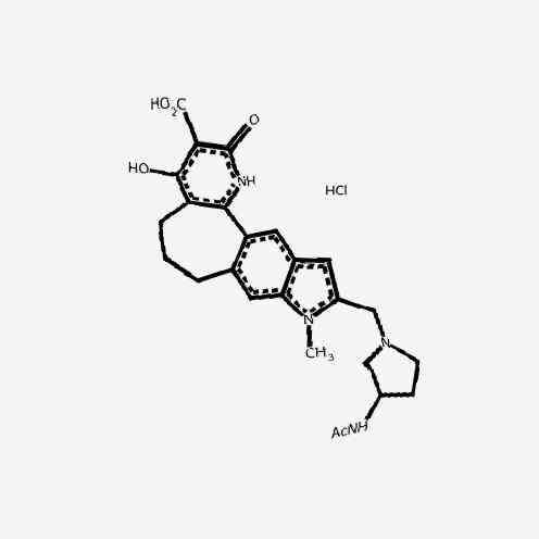 CC(=O)NC1CCN(Cc2cc3cc4c(cc3n2C)CCCc2c-4[nH]c(=O)c(C(=O)O)c2O)C1.Cl